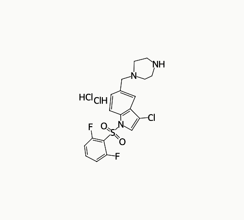 Cl.Cl.O=S(=O)(c1c(F)cccc1F)n1cc(Cl)c2cc(CN3CCNCC3)ccc21